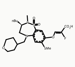 CCCC[C@@H]1CN(CC2CCOCC2)c2cc(SC)c(O/C=C(\F)C(=O)O)cc2S(=O)(=O)N1C